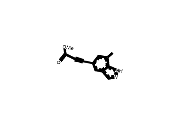 COC(=O)C#Cc1cc(C)c2[nH]ncc2c1